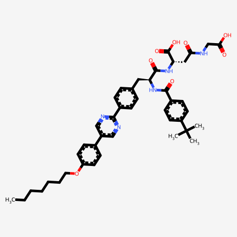 CCCCCCCOc1ccc(-c2cnc(-c3ccc(C[C@H](NC(=O)c4ccc(C(C)(C)C)cc4)C(=O)N[C@@H](CC(=O)NCC(=O)O)C(=O)O)cc3)nc2)cc1